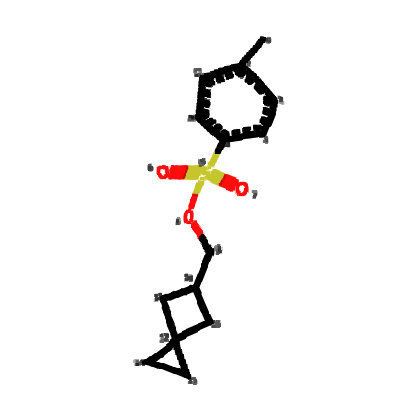 Cc1ccc(S(=O)(=O)OCC2CC3(CC3)C2)cc1